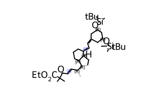 CCOC(=O)C(C)(C)C(=O)/C=C/[C@@H](C)[C@H]1CC[C@H]2/C(=C/C=C3C[C@@H](O[Si](C)(C)C(C)(C)C)C[C@H](O[Si](C)(C)C(C)(C)C)C3)CCC[C@]12C